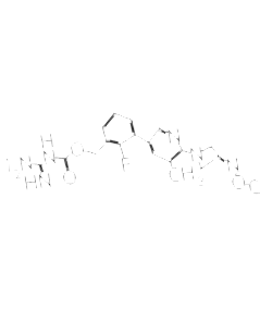 CON=C1CN(c2ncc(-c3cccc(COC(=O)NC(=N)N)c3F)cc2C)C1